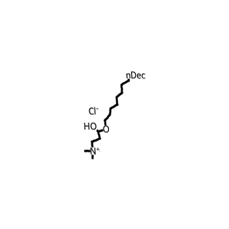 CCCCCCCCCCCCCCCCCCOC(O)CC[N+](C)(C)C.[Cl-]